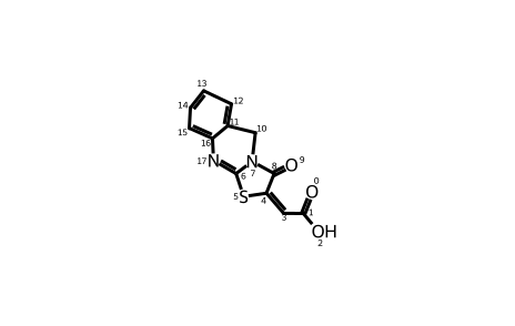 O=C(O)/C=c1/sc2n(c1=O)Cc1ccccc1N=2